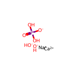 O=P([O-])(O)O.[Ca+2].[Na+].[OH-].[OH-]